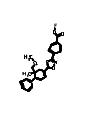 COCC1(C)CC(c2nc(-c3ccc(C(=O)OF)cc3)no2)=CC=C1c1ccccc1